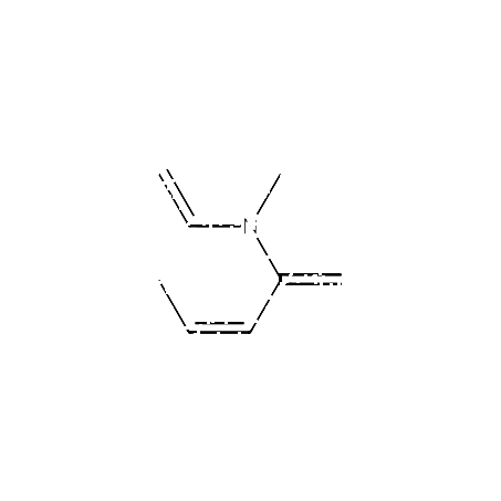 C=CN(C)C(=C)/C=C\C